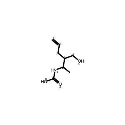 C=CCC(CO)C(C)NC(=O)O